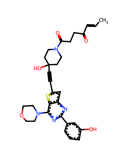 C/C=C/C(=O)CCC(=O)N1CCC(O)(C#Cc2cc3nc(-c4cccc(O)c4)nc(N4CCOCC4)c3s2)CC1